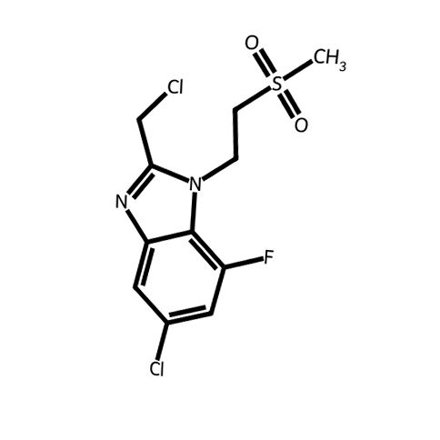 CS(=O)(=O)CCn1c(CCl)nc2cc(Cl)cc(F)c21